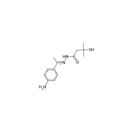 C/C(=N\NC(=O)CC(C)(C)S)c1ccc(N)cc1